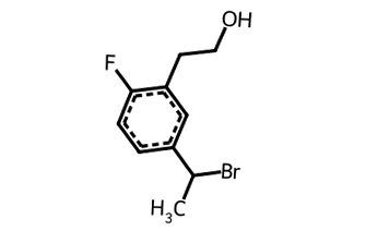 CC(Br)c1ccc(F)c(CCO)c1